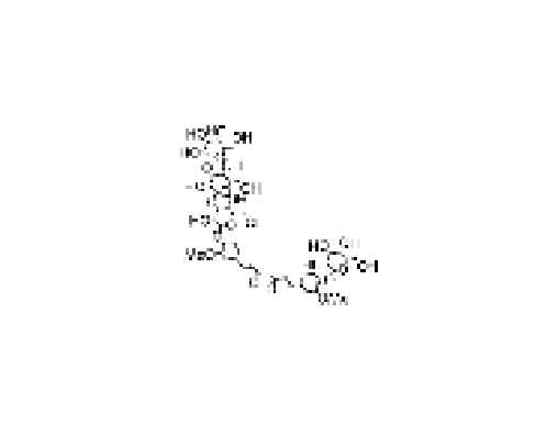 COc1cc(/C=C/C(=O)CC(=O)/C=C/c2ccc(O[C@@H]3O[C@H](CO)[C@@H](O)[C@H](O[C@@H]4O[C@H](CO)[C@@H](O)[C@H](O[C@@H]5O[C@H](CO)[C@@H](O)C(O)[C@H]5O)[C@H]4O)[C@H]3O)c(OC)c2)ccc1O[C@@H]1O[C@H](CO)[C@@H](O)[C@H](O)[C@H]1O